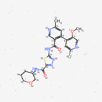 COc1cnc(Cl)cc1-c1cc(C)ncc1C(=O)Nc1nnc(C(=O)N[C@@H]2CCCOC2)s1